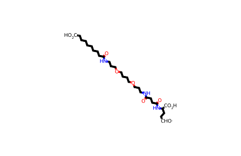 O=[C]CCC(NC(=O)CCC(=O)NCCCOCCCCOCCCNC(=O)CCCCCCCCC(=O)O)C(=O)O